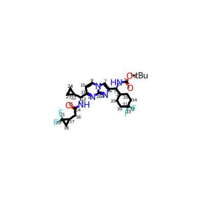 CC(C)(C)OC(=O)N[C@H](c1cn2ccc([C@H](NC(=O)CC3CC3(F)F)C3CC3)nc2n1)C1CCC(F)(F)CC1